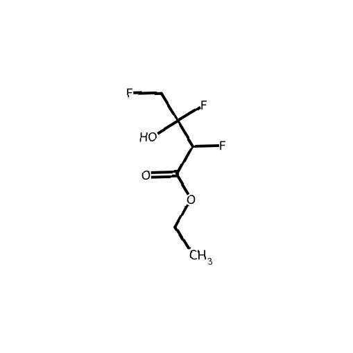 CCOC(=O)C(F)C(O)(F)CF